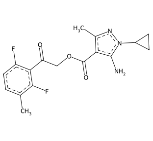 Cc1ccc(F)c(C(=O)COC(=O)c2c(C)nn(C3CC3)c2N)c1F